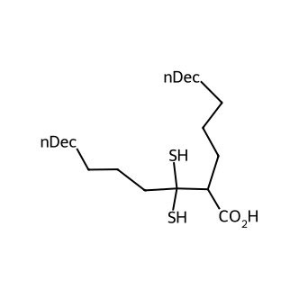 CCCCCCCCCCCCCC(C(=O)O)C(S)(S)CCCCCCCCCCCCC